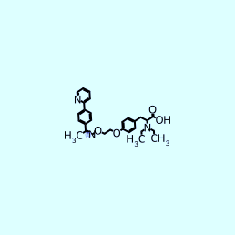 CCN(CC)C(Cc1ccc(OCCO/N=C(/C)c2ccc(-c3ccccn3)cc2)cc1)C(=O)O